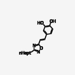 CCCCCCCc1noc(C=Cc2ccc(O)c(O)c2)n1